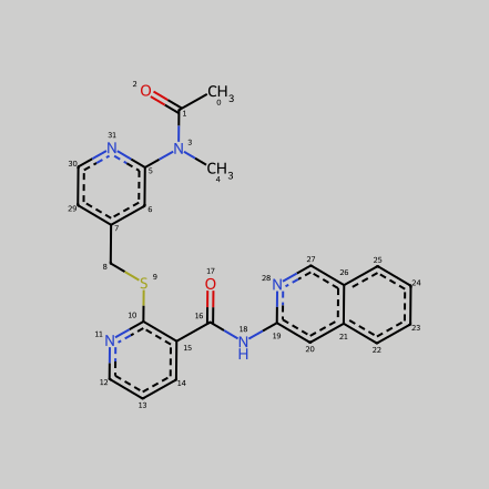 CC(=O)N(C)c1cc(CSc2ncccc2C(=O)Nc2cc3ccccc3cn2)ccn1